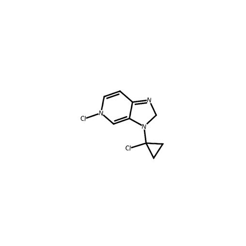 ClN1C=CC2=NCN(C3(Cl)CC3)C2=C1